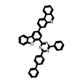 c1ccc(-c2ccc(-c3nc(-c4ccccc4)nc(-c4cc(-c5ccc6c(c5)ncc5ccccc56)cc5c4oc4ccccc45)n3)cc2)cc1